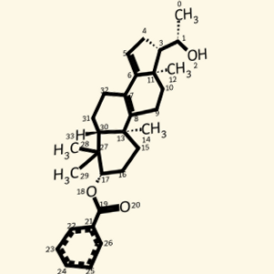 C[C@H](O)[C@H]1CC=C2C3=C(CC[C@@]21C)[C@@]1(C)CC[C@H](OC(=O)c2ccccc2)C(C)(C)[C@@H]1CC3